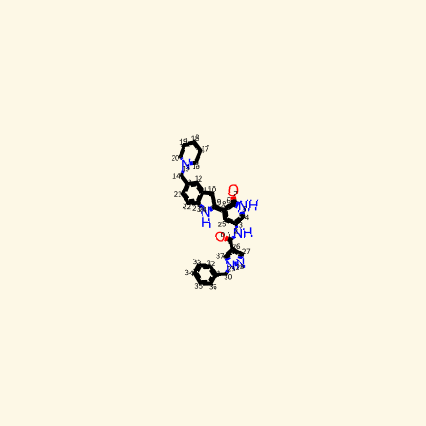 O=C(Nc1c[nH]c(=O)c(C2Cc3cc(CN4CCCCC4)ccc3N2)c1)c1cnn(Cc2ccccc2)c1